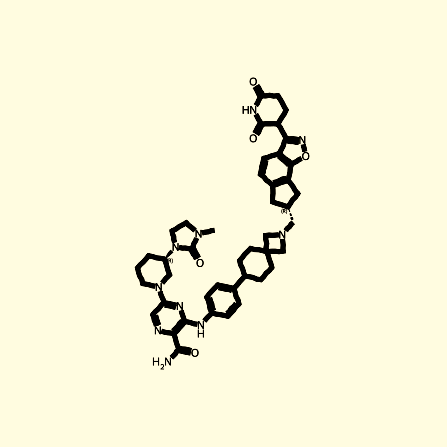 CN1CCN([C@@H]2CCCN(c3cnc(C(N)=O)c(Nc4ccc(C5CCC6(CC5)CN(C[C@@H]5Cc7ccc8c(C9CCC(=O)NC9=O)noc8c7C5)C6)cc4)n3)C2)C1=O